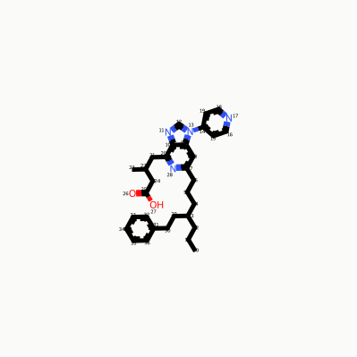 CCCC(CCCc1cc2c(ncn2-c2ccncc2)c(CC(C)CC(=O)O)n1)CCc1ccccc1